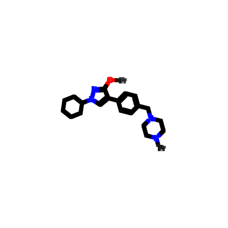 CC(C)Oc1nn(C2CCCCC2)cc1-c1ccc(CN2CCN(C(C)C)CC2)cc1